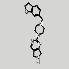 c1cc2c(cc1CN1CCN(c3ncc4c(n3)CNC4)CC1)OCC2